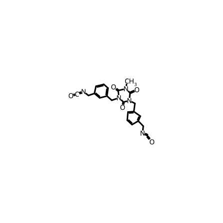 Cn1c(=O)n(Cc2cccc(CN=C=O)c2)c(=O)n(Cc2cccc(CN=C=O)c2)c1=O